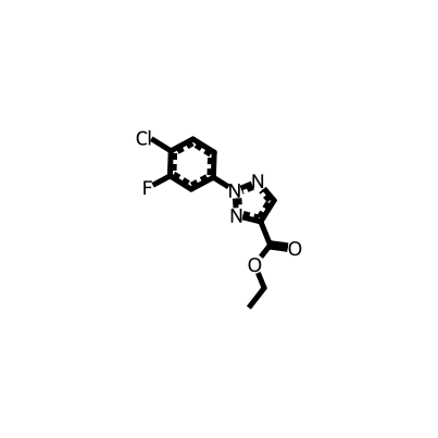 CCOC(=O)c1cnn(-c2ccc(Cl)c(F)c2)n1